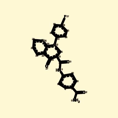 NC(=O)c1ccc(NC(=O)c2cn(-c3ccc(F)cc3)c3ncccc3c2=O)cc1